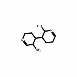 NC1C=NCCC1C1CCC=NC1O